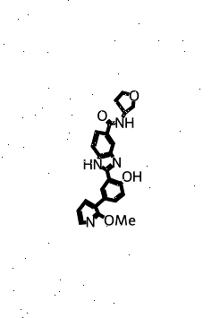 COc1ncccc1-c1ccc(O)c(-c2nc3cc(C(=O)NC4CCOC4)ccc3[nH]2)c1